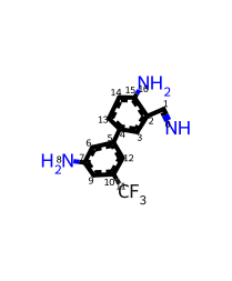 N=Cc1cc(-c2cc(N)cc(C(F)(F)F)c2)ccc1N